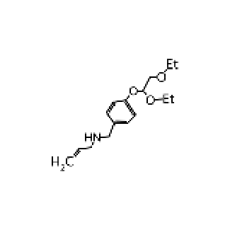 C=CCNCc1ccc(OC(COCC)OCC)cc1